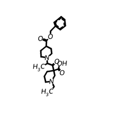 CCN1CCCC(C(=O)O)(C(=O)C(C)N2CCC(C(=O)OCc3ccccc3)CC2)C1